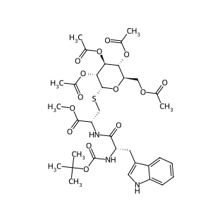 COC(=O)[C@H](CS[C@H]1O[C@H](COC(C)=O)[C@@H](OC(C)=O)[C@H](OC(C)=O)[C@H]1OC(C)=O)NC(=O)[C@H](Cc1c[nH]c2ccccc12)NC(=O)OC(C)(C)C